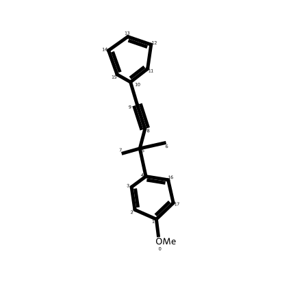 COc1ccc(C(C)(C)C#Cc2ccccc2)cc1